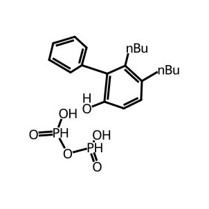 CCCCc1ccc(O)c(-c2ccccc2)c1CCCC.O=[PH](O)O[PH](=O)O